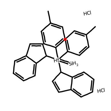 Cc1cc[c]([Hf](=[SiH2])([c]2ccc(C)cc2)([CH]2C=Cc3ccccc32)[CH]2C=Cc3ccccc32)cc1.Cl.Cl